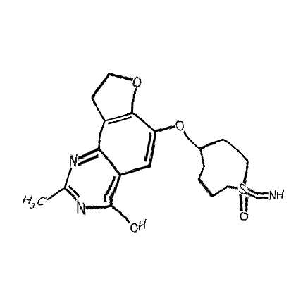 Cc1nc(O)c2cc(OC3CCS(=N)(=O)CC3)c3c(c2n1)CCO3